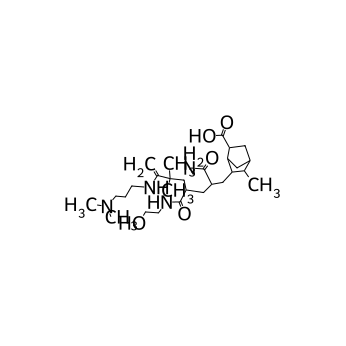 C=C(NCCCN(C)C)C(C)(C)CC(CC(CC1C(C)C2CC(C(=O)O)C1C2)C(N)=O)C(=O)NCCO